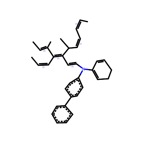 C/C=C\C=C/C(C)C(/C=C/N(C1=CCCC=C1)c1ccc(-c2ccccc2)cc1)=C(/C=C\C)C(\C)=C\C